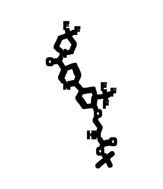 CC(C)(C)OC(=O)NCCOc1ccc(-c2ccc(C(=O)N3CCC(F)(F)CC3)cn2)cc1C(F)(F)F